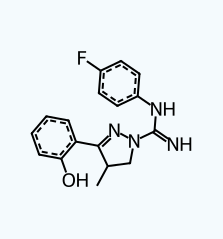 CC1CN(C(=N)Nc2ccc(F)cc2)N=C1c1ccccc1O